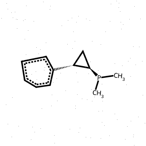 CP(C)[C@@H]1C[C@H]1c1ccccc1